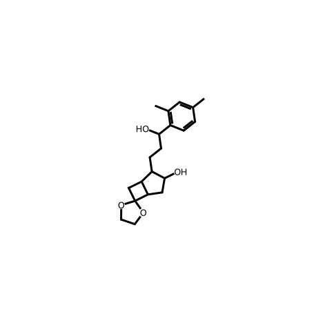 Cc1ccc(C(O)CCC2C(O)CC3C2CC32OCCO2)c(C)c1